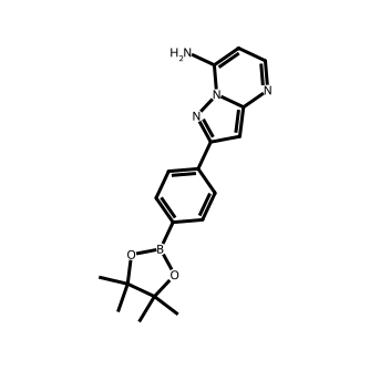 CC1(C)OB(c2ccc(-c3cc4nccc(N)n4n3)cc2)OC1(C)C